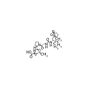 C=CC1C[C@]1(NC(=O)[C@@H]1CCCN1C(=O)CNC(=O)NC(CN1CCCS1(=O)=O)C(C)(C)C)C(=O)O